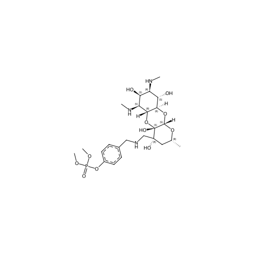 CN[C@@H]1[C@H](O)[C@H](NC)[C@H]2O[C@]3(O)[C@H](O[C@@H]2[C@H]1O)O[C@H](C)C[C@@]3(O)CNCc1ccc(OP(=O)(OC)OC)cc1